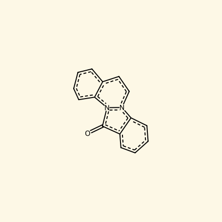 O=c1c2ccccc2n2ccc3ccccc3n12